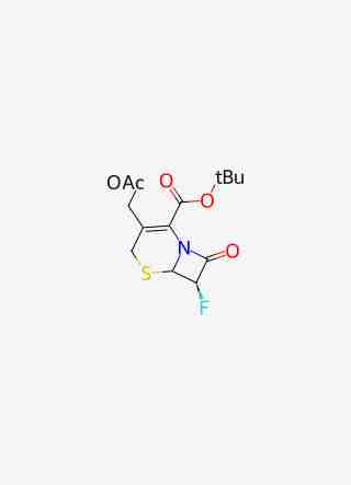 CC(=O)OCC1=C(C(=O)OC(C)(C)C)N2C(=O)[C@@H](F)C2SC1